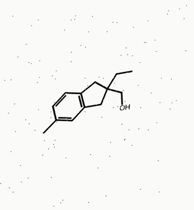 CCC1(CO)Cc2ccc(C)cc2C1